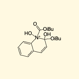 CC(C)COC(=O)[N+]1(O)c2ccccc2C=CC1(O)OCC(C)C